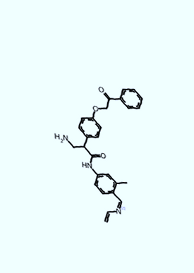 C=C/N=C\c1ccc(NC(=O)C(CN)c2ccc(OCC(=O)c3ccccc3)cc2)cc1C